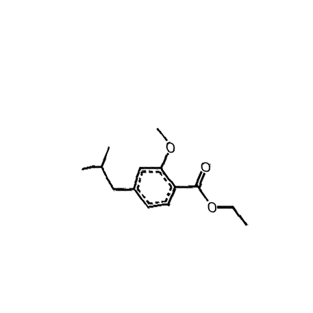 CCOC(=O)c1ccc(CC(C)C)cc1OC